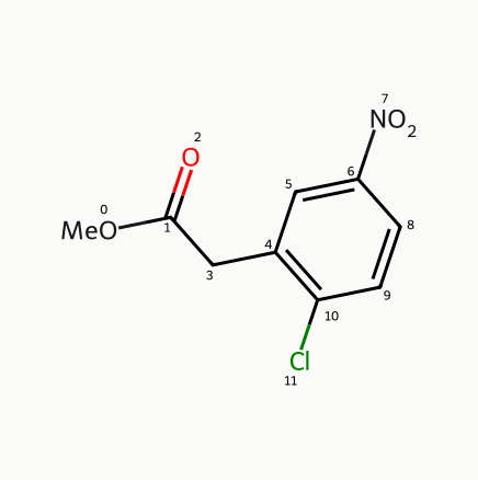 COC(=O)Cc1cc([N+](=O)[O-])ccc1Cl